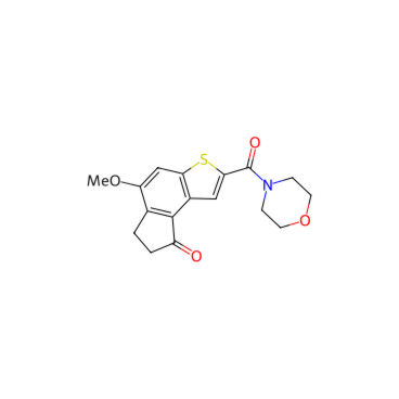 COc1cc2sc(C(=O)N3CCOCC3)cc2c2c1CCC2=O